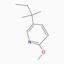 CCC(C)(C)c1ccc(OC)nc1